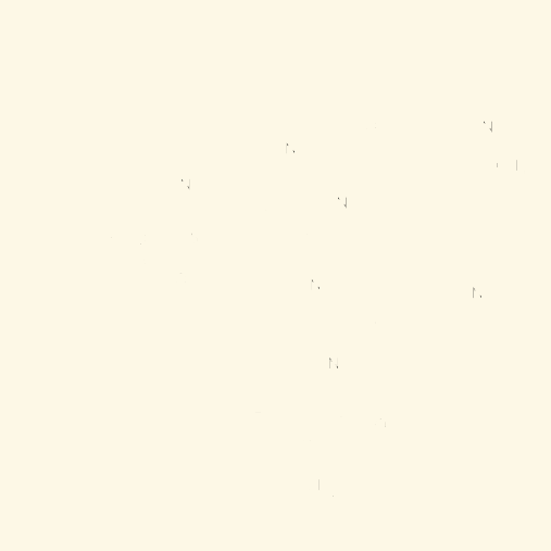 C=C(F)C(=O)N1CCN(c2nc(OC[C@@H]3CCCN3C)nc3c2CS(=O)(=O)N(c2cccc4cccc(Cl)c24)C3)C[C@@H]1CC#N